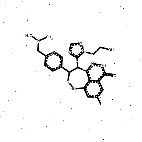 CN(C)Cc1ccc(C2ONc3cc(F)cc4c(=O)[nH]nc(c34)C2c2ncnn2CCO)cc1